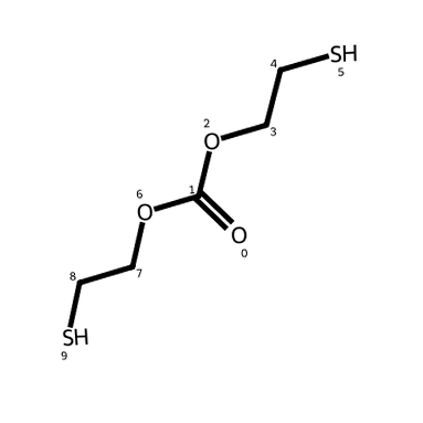 O=C(OCCS)OCCS